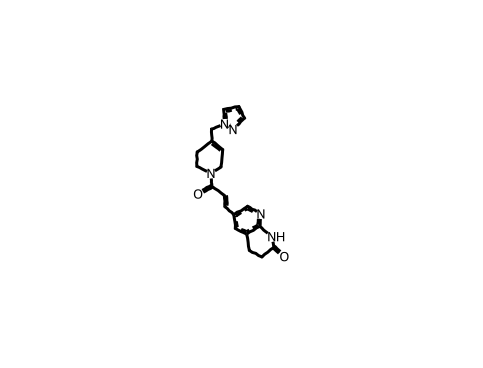 O=C1CCc2cc(/C=C/C(=O)N3CC=C(Cn4cccn4)CC3)cnc2N1